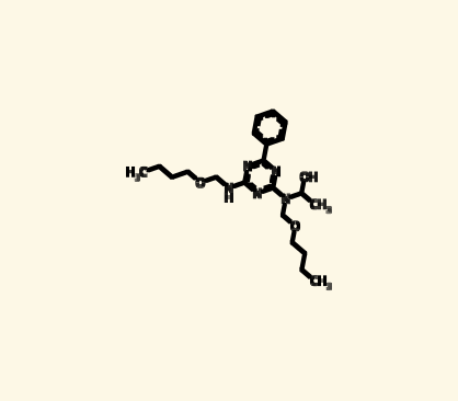 CCCCOCNc1nc(-c2ccccc2)nc(N(COCCCC)C(C)O)n1